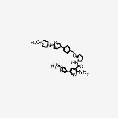 CN1CCN(c2ccc(-c3ccc(CO[C@H]4CCC[C@@H]4NC(=O)c4cc(-c5cnn(C)c5)cnc4N)cc3)cn2)CC1